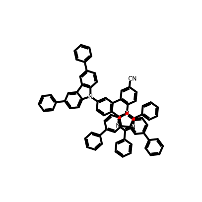 N#Cc1ccc(-n2c3ccc(-c4ccccc4)cc3c3cc(-c4ccccc4)ccc32)c(-c2cc(-n3c4ccc(-c5ccccc5)cc4c4cc(-c5ccccc5)ccc43)ccc2-c2nc(-c3ccccc3)nc(-c3ccccc3)n2)c1